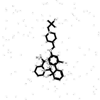 CC(C)(F)CN1CCC(COc2ccc(C3C=CC=CC3(F)C(=O)N3CCCCC3C(N)=O)c(F)c2)CC1